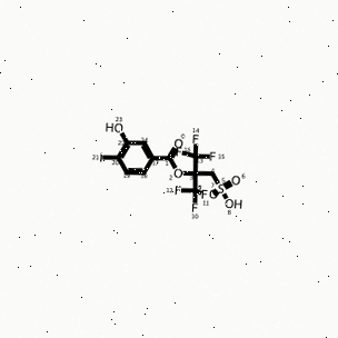 O=C(OC(CS(=O)(=O)O)(C(F)(F)F)C(F)(F)F)c1ccc(I)c(O)c1